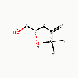 C=C(C[C@H](O)CO)[Si](C)(C)C